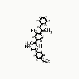 C=C(NC(CC#N)c1ccc(SCC)cc1)c1cnc(C(C)Cc2ccccc2)c(CC)c1